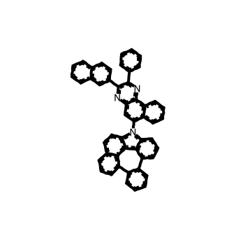 c1ccc(-c2nc3c(cc(-n4c5cccc6c5c5c7c(cccc7ccc54)-c4ccccc4-6)c4ccccc43)nc2-c2ccc3ccccc3c2)cc1